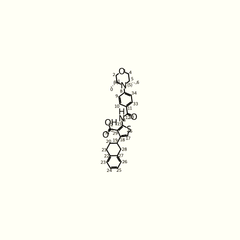 C[C@@H]1COC[C@H](C)N1c1ccc(C(=O)Nc2scc(C3CCc4ccccc4C3)c2C(=O)O)cc1